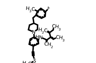 C=C(CC)/C(=C\C)C(=C)Nc1cc(C#CSC)ccc1N1CCC(Cc2ccc(F)cc2C)CC1